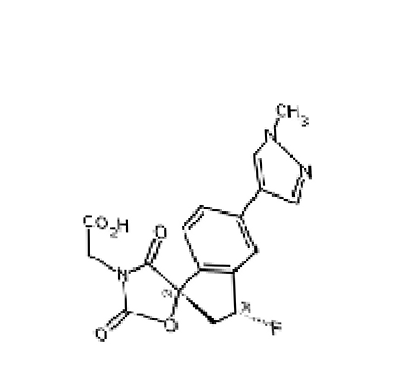 Cn1cc(-c2ccc3c(c2)[C@H](F)C[C@]32OC(=O)N(CC(=O)O)C2=O)cn1